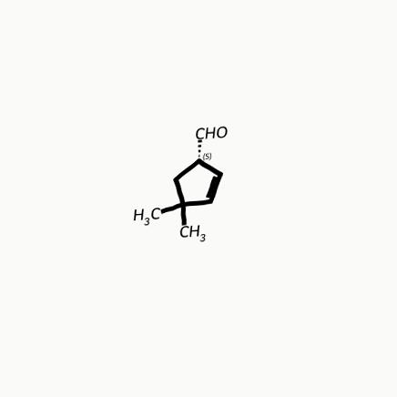 CC1(C)C=C[C@@H](C=O)C1